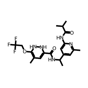 CC1=C(OCC(F)(F)F)NNC(C(=O)NC(C)c2cc(C)nc(NC(=O)C(C)C)c2)=C1